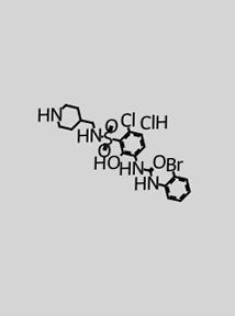 Cl.O=C(Nc1ccccc1Br)Nc1ccc(Cl)c(S(=O)(=O)NCC2CCNCC2)c1O